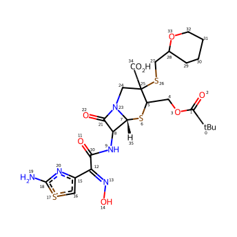 CC(C)(C)C(=O)OCC1S[C@@H]2C(NC(=O)C(=NO)c3csc(N)n3)C(=O)N2CC1(SCC1CCCCO1)C(=O)O